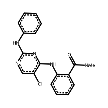 CNC(=O)c1ccccc1Nc1nc(Nc2ccccc2)ncc1Cl